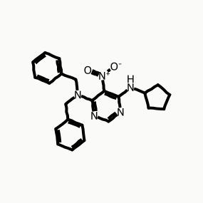 O=[N+]([O-])c1c(NC2CCCC2)ncnc1N(Cc1ccccc1)Cc1ccccc1